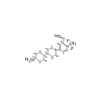 CCC(F)(F)c1ccc(C2CCC(C3CCC(C)CC3)CC2)cc1CO